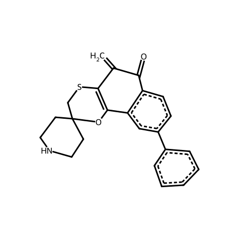 C=C1C(=O)c2ccc(-c3ccccc3)cc2C2=C1SCC1(CCNCC1)O2